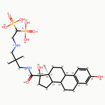 CC(C)(CNCC(P(=O)(O)O)P(=O)(O)O)CNC(=O)[C@@]1(O)CCC2C3CCc4cc(O)ccc4C3CC[C@@]21C